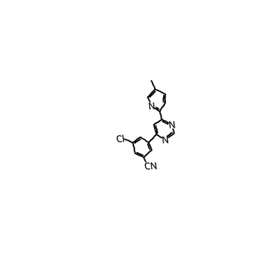 Cc1ccc(-c2cc(-c3cc(Cl)cc(C#N)c3)ncn2)nc1